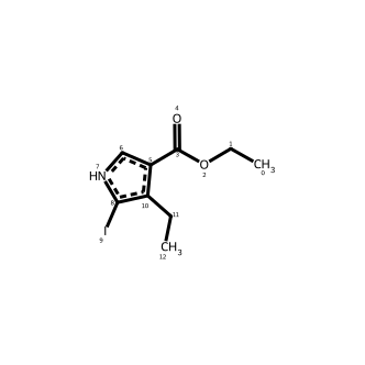 CCOC(=O)c1c[nH]c(I)c1CC